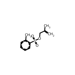 C=C(C)COS(=O)(=O)c1ccccc1C